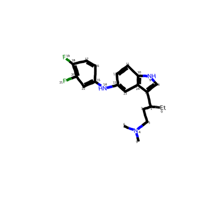 CCC(CCN(C)C)c1c[nH]c2ccc(Nc3ccc(F)c(F)c3)cc12